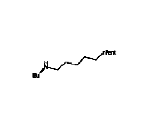 CCCCCCCCCCN[C@H](C)CC